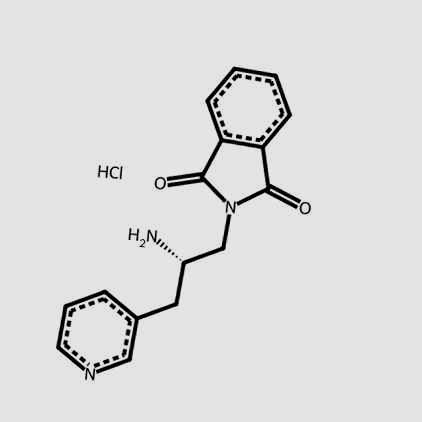 Cl.N[C@@H](Cc1cccnc1)CN1C(=O)c2ccccc2C1=O